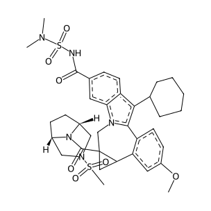 COc1ccc2c(c1)C1CC1(C(=O)N1[C@@H]3CC[C@H]1CN(S(C)(=O)=O)C3)Cn1c-2c(C2CCCCC2)c2ccc(C(=O)NS(=O)(=O)N(C)C)cc21